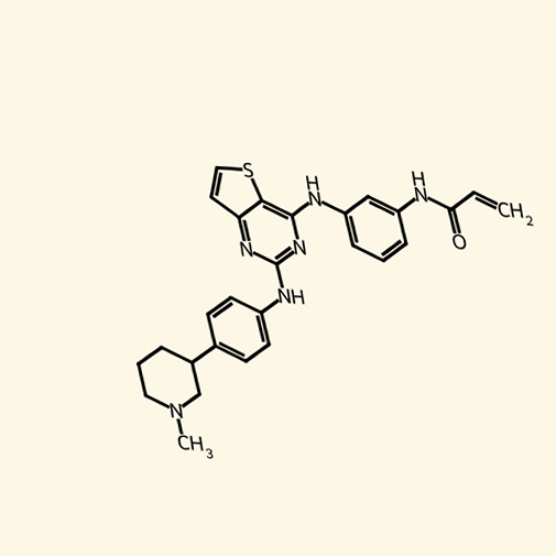 C=CC(=O)Nc1cccc(Nc2nc(Nc3ccc(C4CCCN(C)C4)cc3)nc3ccsc23)c1